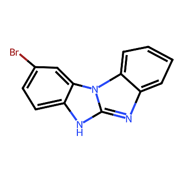 Brc1ccc2[nH]c3nc4ccccc4n3c2c1